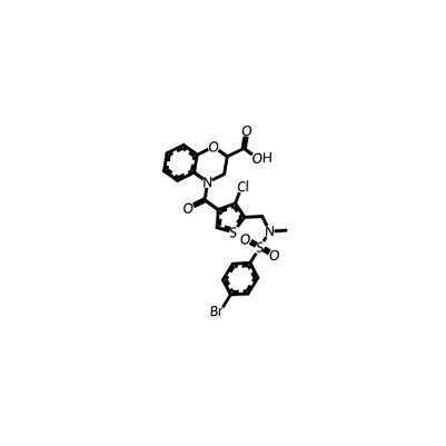 CN(Cc1scc(C(=O)N2CC(C(=O)O)Oc3ccccc32)c1Cl)S(=O)(=O)c1ccc(Br)cc1